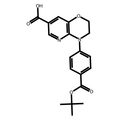 CC(C)(C)OC(=O)c1ccc(N2CCOc3cc(C(=O)O)cnc32)cc1